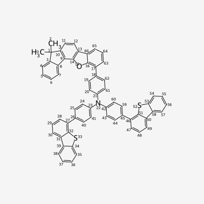 CC1(C)c2ccccc2-c2c1ccc1c2oc2c(-c3ccc(N(c4ccc(-c5cccc6c5sc5ccccc56)cc4)c4ccc(-c5cccc6c5sc5ccccc56)cc4)cc3)cccc21